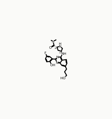 CN(C)C(=O)[C@H]1C[C@H](Nc2nc(-c3cc(F)ccc3O)nc3cc(CCCO)ccc23)CN1